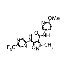 COc1ccc(NC(=O)c2c(C)noc2Nc2cnc(C(F)(F)F)cn2)cn1